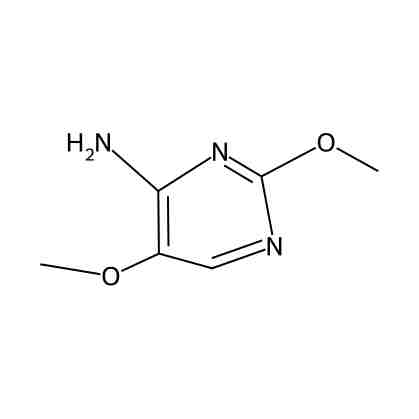 COc1ncc(OC)c(N)n1